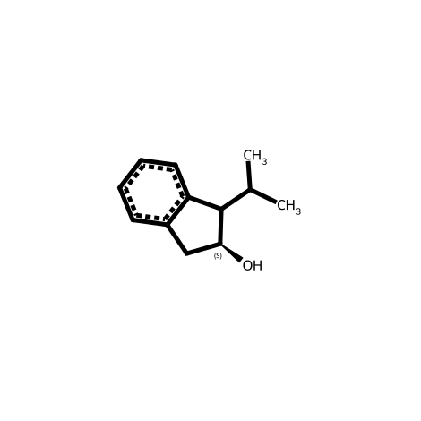 CC(C)C1c2ccccc2C[C@@H]1O